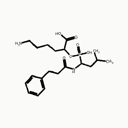 CC(C)CC(NC(=O)CCc1ccccc1)P(=O)(O)OC(CCCCN)C(=O)O